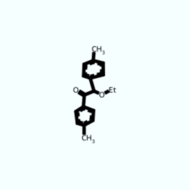 CCOC(C(=O)c1ccc(C)cc1)c1ccc(C)cc1